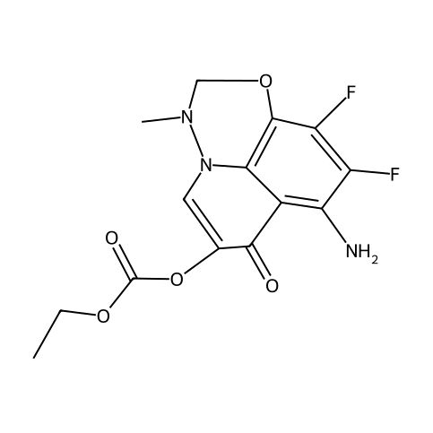 CCOC(=O)Oc1cn2c3c(c(F)c(F)c(N)c3c1=O)OCN2C